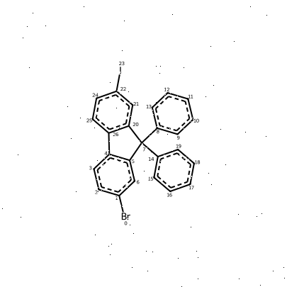 Brc1ccc2c(c1)C(c1ccccc1)(c1ccccc1)c1cc(I)ccc1-2